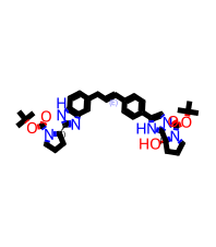 CC(C)(C)OC(=O)N1CCC[C@H]1c1nc2cc(C/C=C/c3ccc(-c4cnc([C@@]5(O)CCCN5C(=O)OC(C)(C)C)[nH]4)cc3)ccc2[nH]1